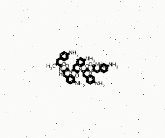 CC(Cc1ccc(N)cc1)C(=O)NC(Cc1ccc(N)cc1)C(=O)NC(Cc1ccc(N)cc1)C(=O)NC(Cc1ccc(N)cc1)C(=O)NC(Cc1ccc(N)cc1)C(N)=O